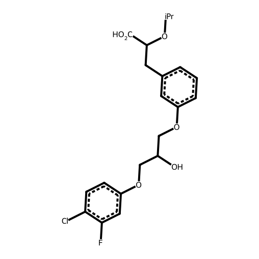 CC(C)OC(Cc1cccc(OCC(O)COc2ccc(Cl)c(F)c2)c1)C(=O)O